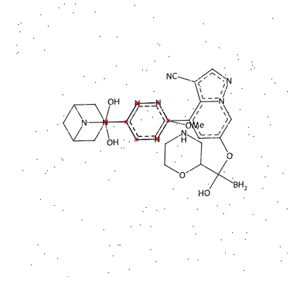 BC(O)(Oc1cc(-c2cnc(N3CC4CC(C3)N4C(O)(O)c3ccc(OC)nc3)cn2)c2c(C#N)cnn2c1)C1CNCCO1